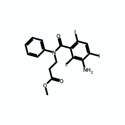 COC(=O)CCN(C(=O)c1c(I)cc(I)c(N)c1I)c1ccccc1